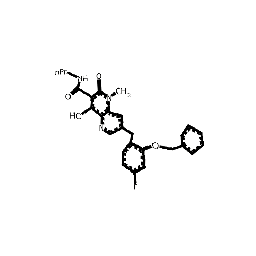 CCCNC(=O)c1c(O)c2ncc(Cc3ccc(F)cc3OCc3ccccc3)cc2n(C)c1=O